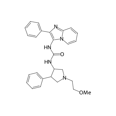 COCCN1CC(NC(=O)Nc2c(-c3ccccc3)nc3ccccn23)C(c2ccccc2)C1